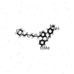 COc1cccc(CN(Cc2ccc3nc[nH]c3c2)c2ccnc(COCCOCCN3CCOCC3)c2)c1